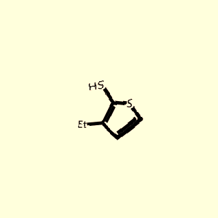 CCc1ccsc1S